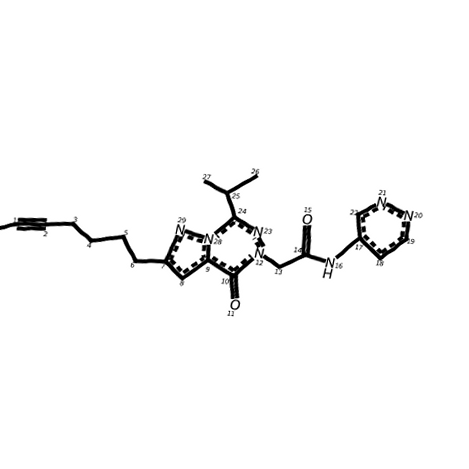 CC#CCCCCc1cc2c(=O)n(CC(=O)Nc3ccnnc3)nc(C(C)C)n2n1